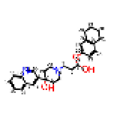 OC(CCN1CCC(O)(c2cnc3ccccc3c2)CC1)Oc1ccc2c(c1)CCCC2